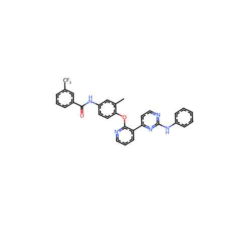 Cc1cc(NC(=O)c2cccc(C(F)(F)F)c2)ccc1Oc1ncccc1-c1ccnc(Nc2ccccc2)n1